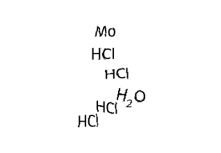 Cl.Cl.Cl.Cl.O.[Mo]